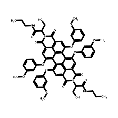 CCCNC(=O)C(CO)N1C(=O)c2cc(Oc3cccc(OC)c3)c3c4c(Oc5cccc(OC)c5)cc5c6c(cc(Oc7cccc(OC)c7)c(c7c(Oc8cccc(OC)c8)cc(c2c37)C1=O)c64)C(=O)N(C(CO)C(=O)NCCC)C5=O